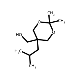 CC(C)CC1(CO)COC(C)(C)OC1